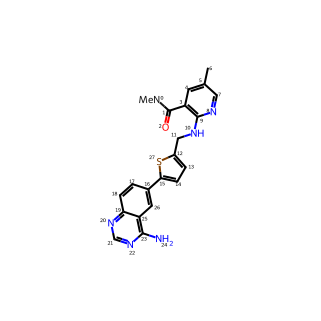 CNC(=O)c1cc(C)cnc1NCc1ccc(-c2ccc3ncnc(N)c3c2)s1